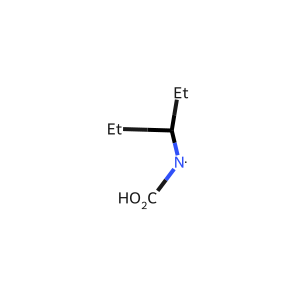 CCC(CC)[N]C(=O)O